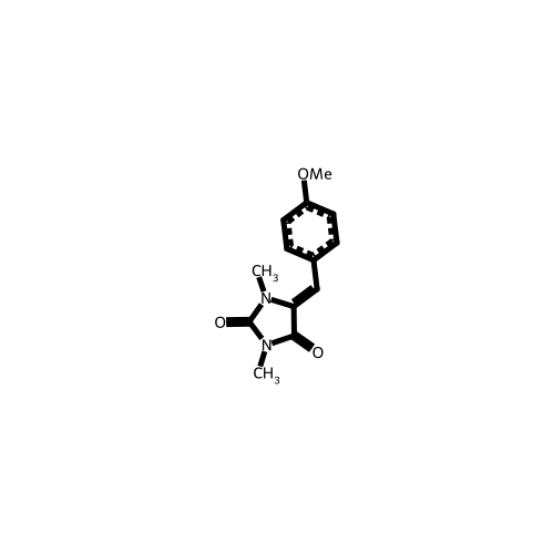 COc1ccc(C=C2C(=O)N(C)C(=O)N2C)cc1